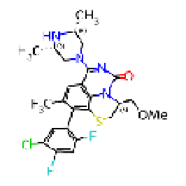 COC[C@H]1CSc2c(-c3cc(Cl)c(F)cc3F)c(C(F)(F)F)cc3c(N4C[C@@H](C)N[C@@H](C)C4)nc(=O)n1c23